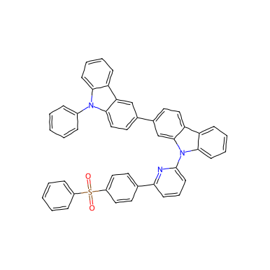 O=S(=O)(c1ccccc1)c1ccc(-c2cccc(-n3c4ccccc4c4ccc(-c5ccc6c(c5)c5ccccc5n6-c5ccccc5)cc43)n2)cc1